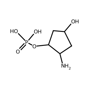 NC1CC(O)CC1OP(=O)(O)O